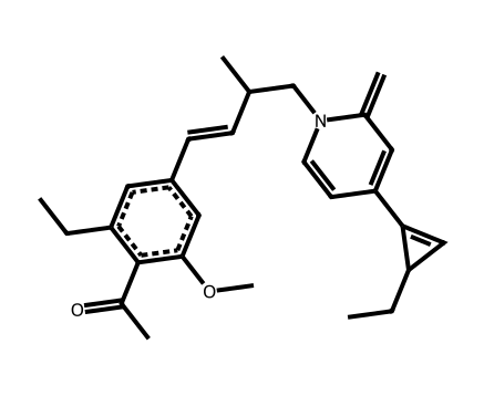 C=C1C=C(C2=CC2CC)C=CN1CC(C)/C=C/c1cc(CC)c(C(C)=O)c(OC)c1